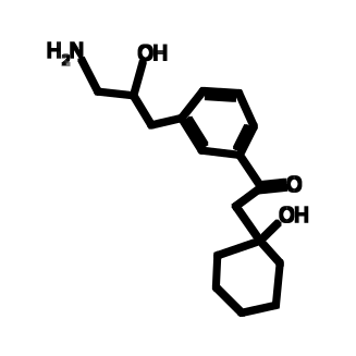 NCC(O)Cc1cccc(C(=O)CC2(O)CCCCC2)c1